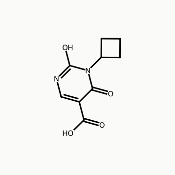 O=C(O)c1cnc(O)n(C2CCC2)c1=O